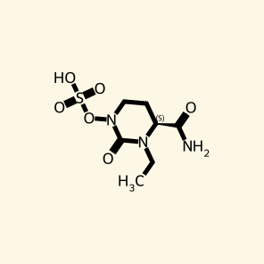 CCN1C(=O)N(OS(=O)(=O)O)CC[C@H]1C(N)=O